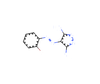 Nc1n[nH]c(N)c1N=Nc1ccccc1Br